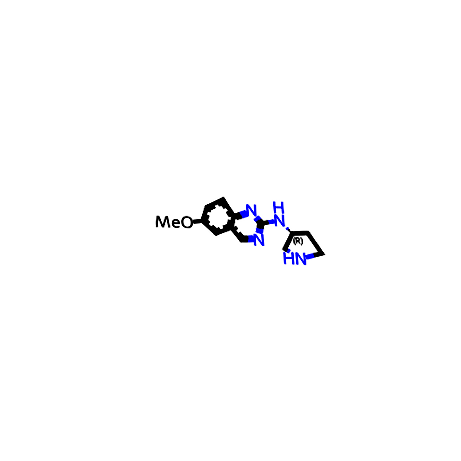 COc1ccc2nc(N[C@@H]3CCNC3)ncc2c1